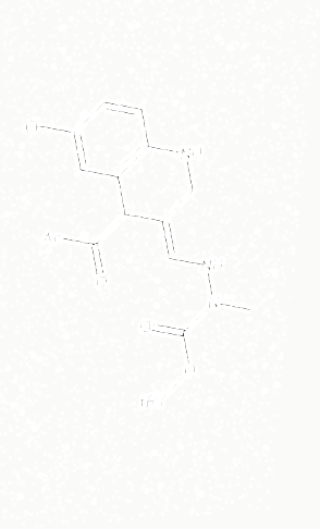 CC(=O)C(=O)C1/C(=C/NN(C)C(=O)OC(C)(C)C)CNc2ccc(Cl)cc21